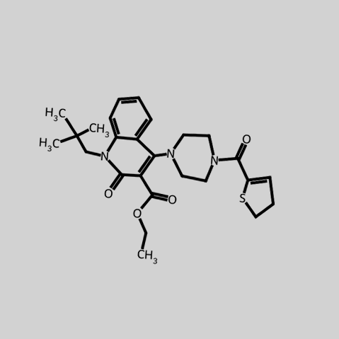 CCOC(=O)c1c(N2CCN(C(=O)C3=CCCS3)CC2)c2ccccc2n(CC(C)(C)C)c1=O